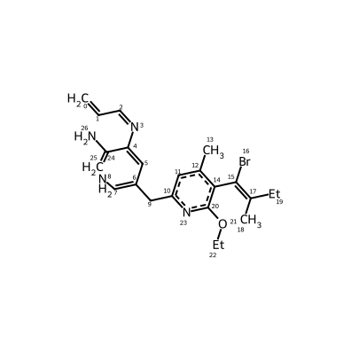 C=C\C=N/C(=C/C(=C\N)Cc1cc(C)c(/C(Br)=C(\C)CC)c(OCC)n1)C(=C)N